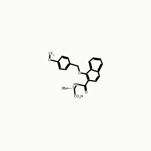 CC(C)(C)[C@H](NC(=O)c1ccc2ccccc2c1OCc1ccc(OC(F)(F)F)cc1)C(=O)O